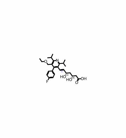 CCOCc1c(C(C)C)nc(C(C)C)c(/C=C/[C@@H](O)C[C@@H](O)CC(=O)O)c1-c1ccc(F)cc1